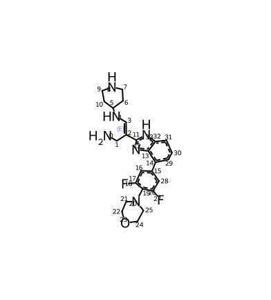 NC/C(=C\NC1CCNCC1)c1nc2c(-c3cc(F)c(N4CCOCC4)c(F)c3)cccc2[nH]1